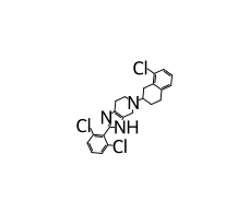 Clc1cccc2c1CC(N1CCc3nc(-c4c(Cl)cccc4Cl)[nH]c3C1)CC2